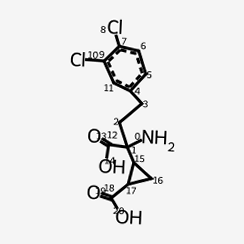 NC(CCc1ccc(Cl)c(Cl)c1)(C(=O)O)C1CC1C(=O)O